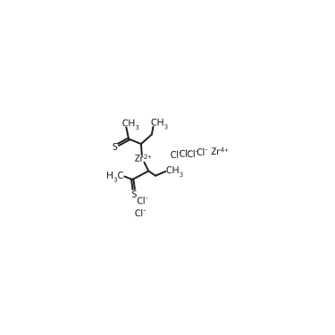 CC[CH]([Zr+2][CH](CC)C(C)=S)C(C)=S.[Cl-].[Cl-].[Cl-].[Cl-].[Cl-].[Cl-].[Zr+4]